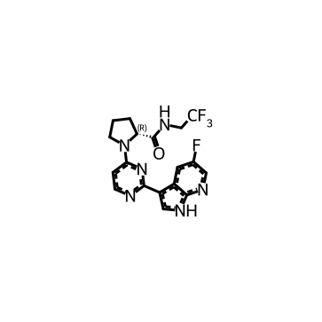 O=C(NCC(F)(F)F)[C@H]1CCCN1c1ccnc(-c2c[nH]c3ncc(F)cc23)n1